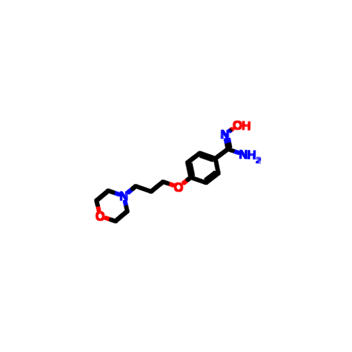 NC(=NO)c1ccc(OCCCN2CCOCC2)cc1